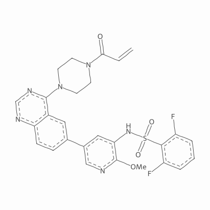 C=CC(=O)N1CCN(c2ncnc3ccc(-c4cnc(OC)c(NS(=O)(=O)c5c(F)cccc5F)c4)cc23)CC1